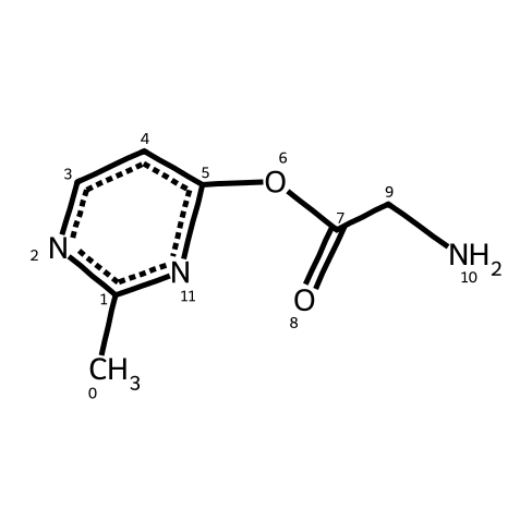 Cc1nccc(OC(=O)CN)n1